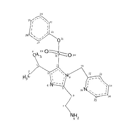 CC(C)c1nc(CCN)n(Cc2ccccn2)c1S(=O)(=O)Oc1ccccc1